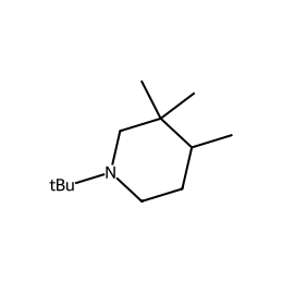 CC1CCN(C(C)(C)C)CC1(C)C